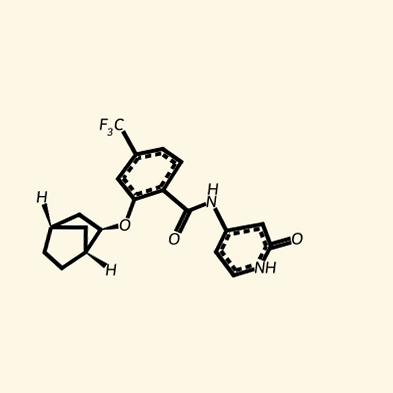 O=C(Nc1cc[nH]c(=O)c1)c1ccc(C(F)(F)F)cc1O[C@@H]1C[C@H]2CC[C@@H]1C2